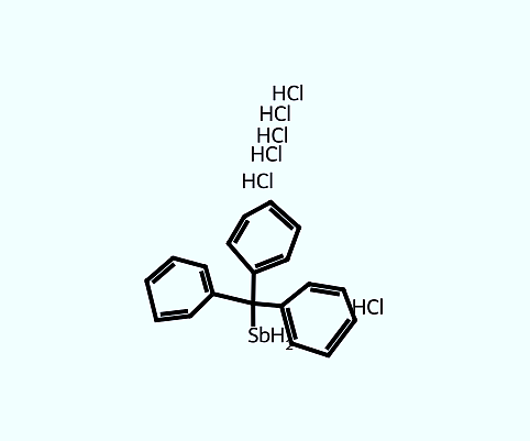 Cl.Cl.Cl.Cl.Cl.Cl.[SbH2][C](c1ccccc1)(c1ccccc1)c1ccccc1